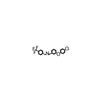 COc1ccc(Oc2cccc(C=NCc3ccc(C(F)(F)F)cc3)c2)cc1